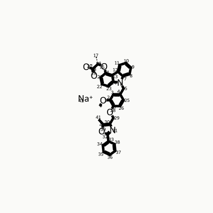 COc1cc(Cn2c3ccccc3c3c(O[C@@H](C)C(=O)[O-])cccc32)ccc1OCc1nc(-c2ccccc2)oc1C.[Na+]